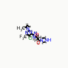 [2H]C([2H])(C(=O)N1CCNCC1)c1nc(-c2nc(N3CC[C@@H]3C)nc(C(F)(F)F)c2Cl)no1